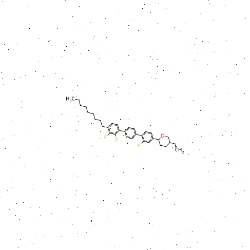 C=CC1CCC(c2ccc(-c3ccc(-c4ccc(CCCCCCCCC)c(F)c4F)cc3)c(F)c2)OC1